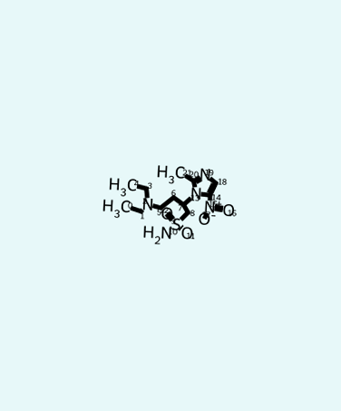 CCN(CC)CCC(CS(N)(=O)=O)n1c([N+](=O)[O-])cnc1C